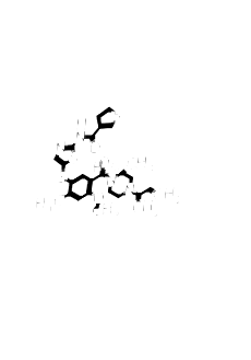 C=CC(=C)N1CCN(C(=O)c2cc(Sc3cnc(NC(=O)c4ccsc4)s3)c(C)cc2OC)C(C)(C)C1